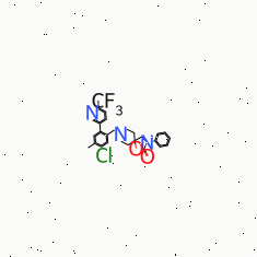 Cc1cc(-c2ccc(C(F)(F)F)nc2)c(CN2CCC3(CC2)CN(c2ccccc2)C(=O)O3)cc1Cl